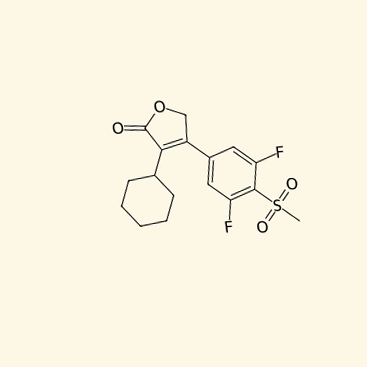 CS(=O)(=O)c1c(F)cc(C2=C(C3CCCCC3)C(=O)OC2)cc1F